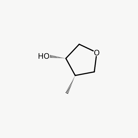 C[C@H]1COC[C@H]1O